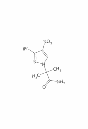 CC(C)c1nn(C(C)(C)C(N)=O)cc1[N+](=O)[O-]